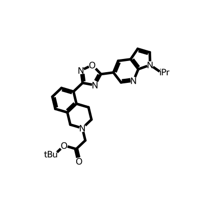 CC(C)n1ccc2cc(-c3nc(-c4cccc5c4CCN(CC(=O)OC(C)(C)C)C5)no3)cnc21